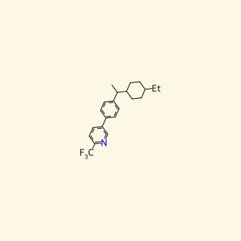 CCC1CCC(C(C)c2ccc(-c3ccc(C(F)(F)F)nc3)cc2)CC1